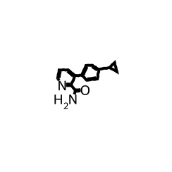 NC(=O)c1ncccc1-c1ccc(C2CC2)cc1